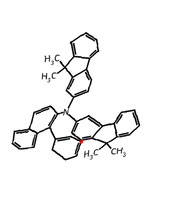 CC1(C)c2ccccc2-c2cc(N(c3ccc4c(c3)C(C)(C)c3ccccc3-4)c3ccc4ccccc4c3C3=CC=CCC3)ccc21